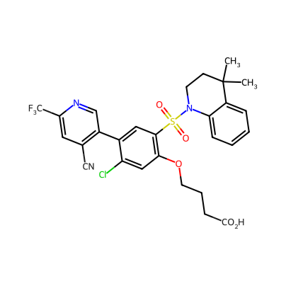 CC1(C)CCN(S(=O)(=O)c2cc(-c3cnc(C(F)(F)F)cc3C#N)c(Cl)cc2OCCCC(=O)O)c2ccccc21